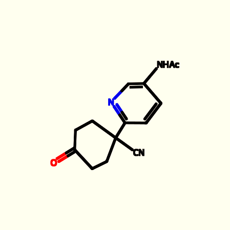 CC(=O)Nc1ccc(C2(C#N)CCC(=O)CC2)nc1